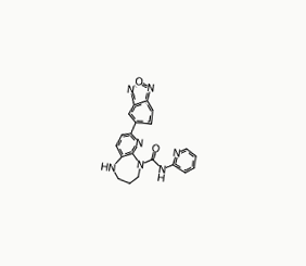 O=C(Nc1ccccn1)N1CCCNc2ccc(-c3ccc4nonc4c3)nc21